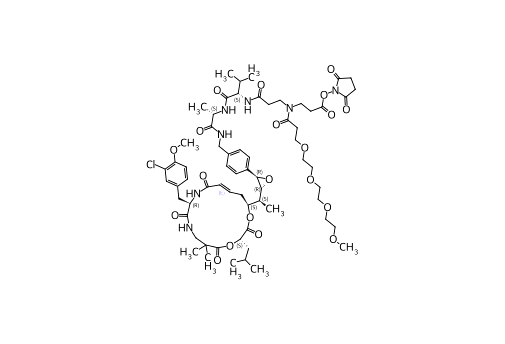 COCCOCCOCCOCCC(=O)N(CCC(=O)N[C@H](C(=O)N[C@@H](C)C(=O)NCc1ccc([C@H]2O[C@@H]2[C@@H](C)[C@@H]2C/C=C/C(=O)N[C@H](Cc3ccc(OC)c(Cl)c3)C(=O)NCC(C)(C)C(=O)O[C@@H](CC(C)C)C(=O)O2)cc1)C(C)C)CCC(=O)ON1C(=O)CCC1=O